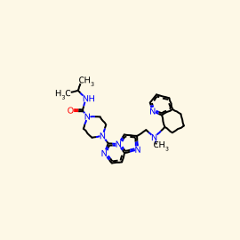 CC(C)NC(=O)N1CCN(c2nccc3nc(CN(C)C4CCCc5cccnc54)cn23)CC1